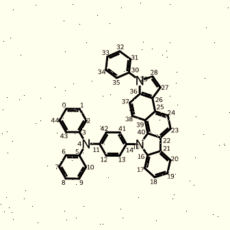 c1ccc(N(c2ccccc2)c2ccc(-n3c4ccccc4c4ccc5c6ccn(-c7ccccc7)c6ccc5c43)cc2)cc1